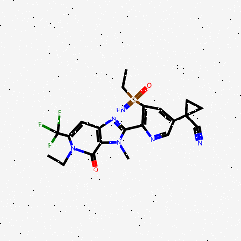 CCn1c(C(F)(F)F)cc2nc(-c3ncc(C4(C#N)CC4)cc3S(=N)(=O)CC)n(C)c2c1=O